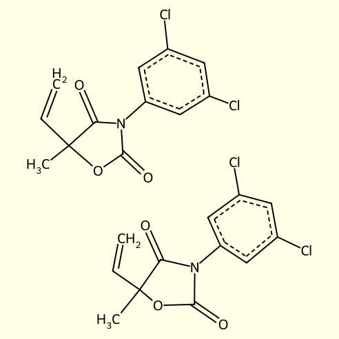 C=CC1(C)OC(=O)N(c2cc(Cl)cc(Cl)c2)C1=O.C=CC1(C)OC(=O)N(c2cc(Cl)cc(Cl)c2)C1=O